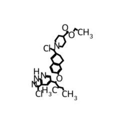 CCOC(=O)C1CCN(C(Cl)C2=Cc3ccc(OC(c4cnc5[nH]nc(Cl)c5c4)C(C)CC)cc3CC2)CC1